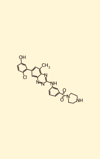 Cc1cc(-c2cc(O)ccc2Cl)cc2nnc(Nc3cccc(S(=O)(=O)N4CCNCC4)c3)nc12